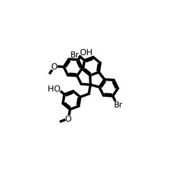 COc1cc(O)cc(CC2(Cc3cc(O)cc(OC)c3)c3cc(Br)ccc3-c3ccc(Br)cc32)c1